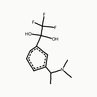 CC(c1cccc(C(O)(O)C(F)(F)F)c1)N(C)C